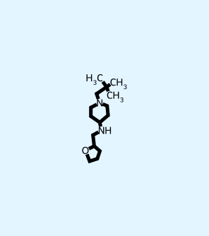 CC(C)(C)CN1CCC(NCC2CCCO2)CC1